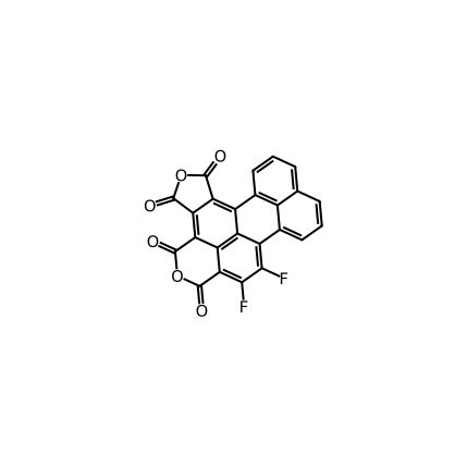 O=C1OC(=O)c2c3c1c(F)c(F)c1c4cccc5cccc(c54)c(c4c(=O)oc(=O)c24)c31